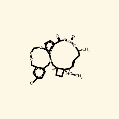 CO[C@H]1/C=C/C[C@H](C)C/[SH](=O)=N\C(=O)c2ccc3c(c2)N(Cc2ccc(Cl)cc2CCSCO3)C[C@@H]2CC[C@H]21